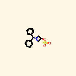 O=[SH](=O)OC1CN(C(c2ccccc2)c2ccccc2)C1